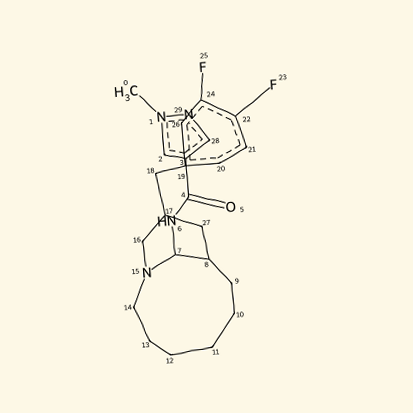 Cn1cc(C(=O)NC2C3CCCCCCN2CC(Cc2ccc(F)c(F)c2)C3)cn1